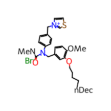 CCCCCCCCCCCCCCOc1cc(CN(C(=O)NC)c2ccc(C[n+]3ccsc3)cc2)ccc1OC.[Br-]